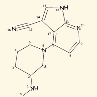 CNC1CCCN(c2ccnc3[nH]cc(C#N)c23)C1